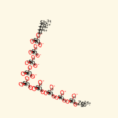 [O]=[Sn]([O-])[O-].[O]=[Sn]([O-])[O-].[O]=[Sn]([O-])[O-].[O]=[Sn]([O-])[O-].[O]=[Sn]([O-])[O-].[O]=[Sn]([O-])[O-].[O]=[Sn]([O-])[O-].[O]=[Sn]([O-])[O-].[O]=[Sn]([O-])[O-].[Sb+3].[Sb+3].[Ti+4].[Ti+4].[Zn+2].[Zn+2]